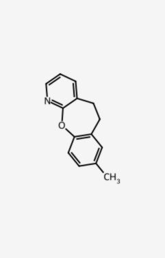 Cc1ccc2c(c1)CCc1cccnc1O2